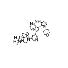 CC1(C)C(=O)N(c2cncc(-c3cc(-c4ccnn4C4CCOCC4)c4c(N)ncnn34)c2)CCN1N